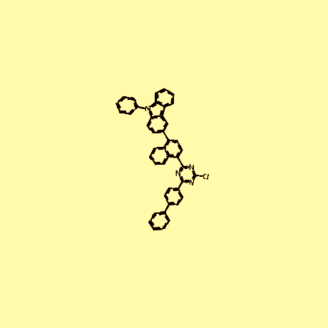 Clc1nc(-c2ccc(-c3ccccc3)cc2)nc(-c2ccc(-c3ccc4c(c3)c3ccccc3n4-c3ccccc3)c3ccccc23)n1